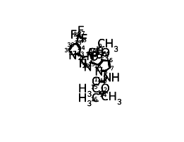 CCS(=O)(=O)c1ccc(NC(=O)OC(C)(C)C)nc1-c1nnc(-c2cc(C(F)(F)F)ccn2)n1C